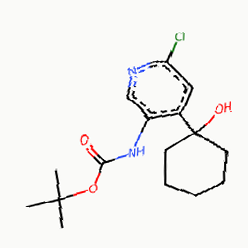 CC(C)(C)OC(=O)Nc1cnc(Cl)cc1C1(O)CCCCC1